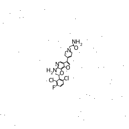 C[C@@H](Oc1c(N)ncc2c(C3=CCN(CC(N)=O)CC3)coc12)c1c(Cl)ccc(F)c1Cl